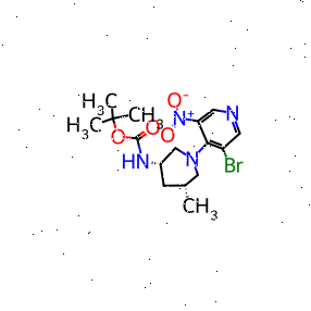 C[C@@H]1C[C@H](NC(=O)OC(C)(C)C)CN(c2c(Br)cncc2[N+](=O)[O-])C1